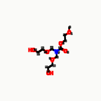 COCCOC(=O)N(COCCO)COCCO